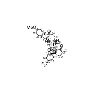 COc1ccc(CN2[C@@H]3CC[C@@]4(S(=O)(=O)c5ccc(C(F)(F)F)cc5)c5c(F)ccc(F)c5OC[C@H]4[C@@H]3CCS2(=O)=O)cc1